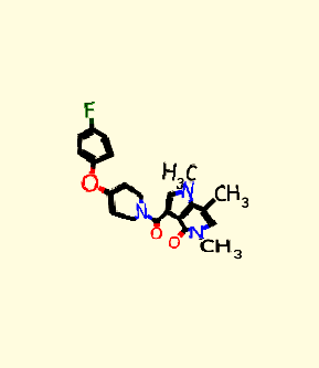 Cc1cn(C)c(=O)c2c(C(=O)N3CCC(Oc4ccc(F)cc4)CC3)cn(C)c12